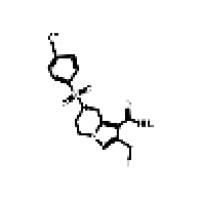 NC(=O)c1c(CI)cn2c1CN(S(=O)(=O)c1ccc(C(F)(F)F)cc1)CC2